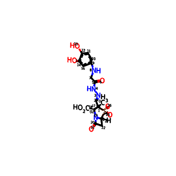 C[C@]1(/C=N/NC(=O)CNc2ccc(O)c(O)c2)[C@H](C(=O)O)N2C(=O)C[C@H]2S1(=O)=O